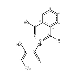 CC=C(C)C(=O)O.O=C(O)c1ccccc1C(=O)O